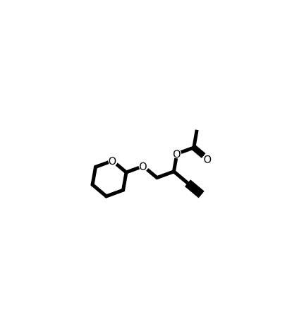 C#CC(COC1CCCCO1)OC(C)=O